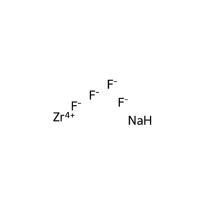 [F-].[F-].[F-].[F-].[NaH].[Zr+4]